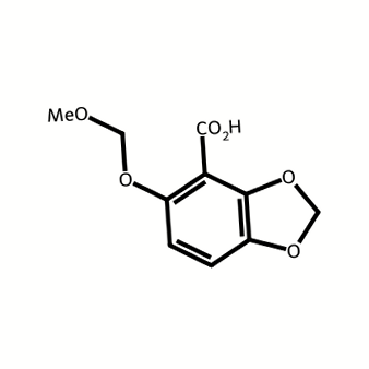 COCOc1ccc2c(c1C(=O)O)OCO2